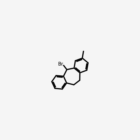 Cc1ccc2c(c1)C(Br)c1ccccc1CC2